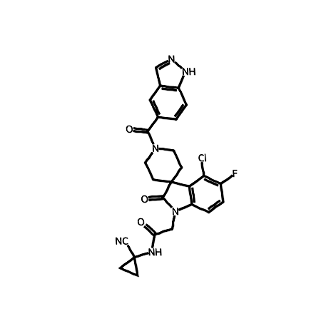 N#CC1(NC(=O)CN2C(=O)C3(CCN(C(=O)c4ccc5[nH]ncc5c4)CC3)c3c2ccc(F)c3Cl)CC1